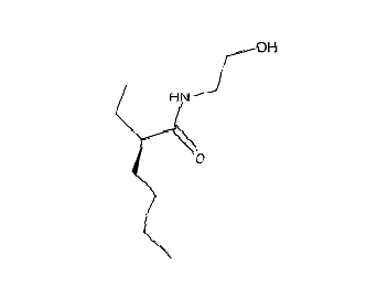 CCCC[C@@H](CC)C(=O)NCCO